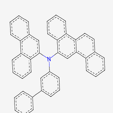 c1ccc(-c2cccc(N(c3cc4ccccc4c4ccccc34)c3cc4c5ccccc5ccc4c4ccccc34)c2)cc1